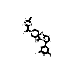 Cc1nnc(C(=O)N2CCC3(CC2)OC2CCC(c4cc(F)cc(F)c4)N2C3=O)o1